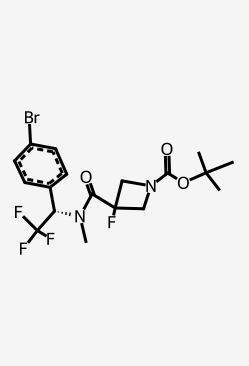 CN(C(=O)C1(F)CN(C(=O)OC(C)(C)C)C1)[C@@H](c1ccc(Br)cc1)C(F)(F)F